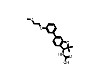 COCCOc1cccc(-c2ccc3c(c2)OC(C)(C)C3NC(=O)O)c1